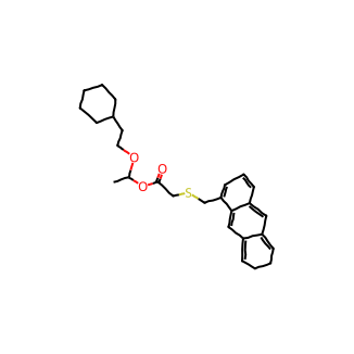 CC(OCCC1CCCCC1)OC(=O)CSCc1cccc2cc3c(cc12)=CCCC=3